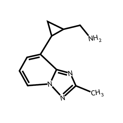 Cc1nc2c(C3CC3CN)cccn2n1